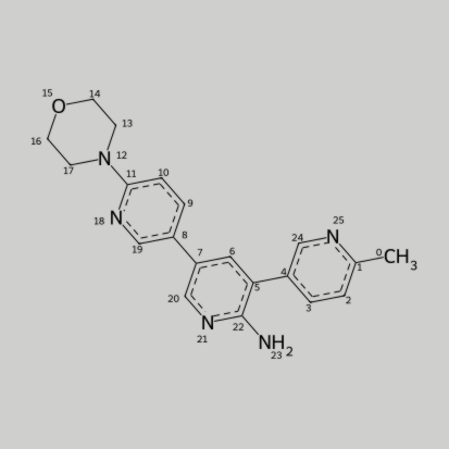 Cc1ccc(-c2cc(-c3ccc(N4CCOCC4)nc3)cnc2N)cn1